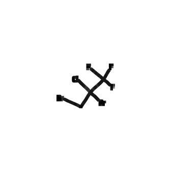 FC(F)(F)C(Cl)(Br)CBr